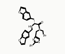 CC(C)CN(Cc1csc(C(C)C)n1)C(=O)[C@@H](Cc1ccc2occc2c1)NCc1ccc2occc2c1